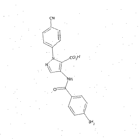 Bc1ccc(C(=O)Nc2cnn(-c3ccc(C#N)cc3)c2C(=O)O)cc1